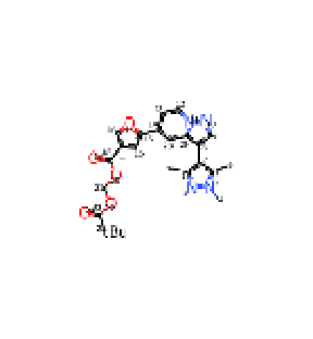 Cc1nn(C)c(C)c1-c1cnn2ccc(-c3cc(C(=O)OCOC(=O)C(C)(C)C)co3)cc12